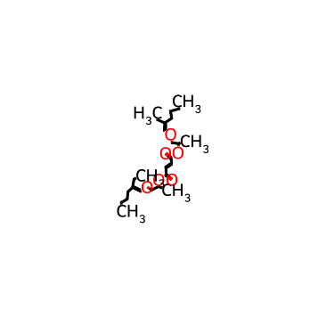 CCCCC(=COCC(C)OC(=O)C=CC(=O)OC(C)COC=C(CC)CCCC)CC